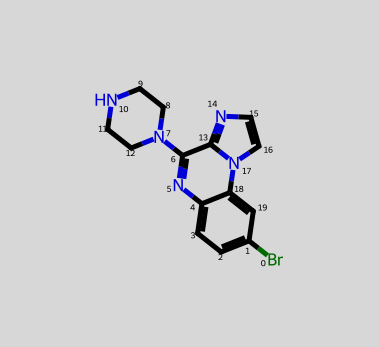 Brc1ccc2nc(N3CCNCC3)c3nccn3c2c1